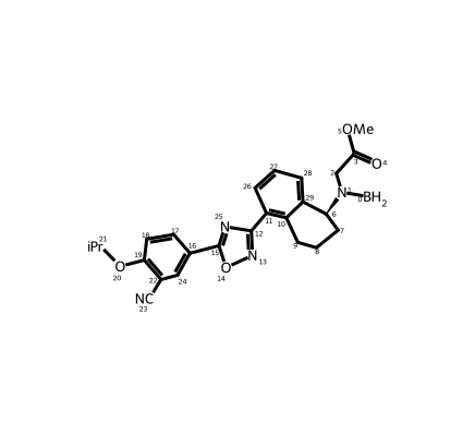 BN(CC(=O)OC)[C@H]1CCCc2c(-c3noc(-c4ccc(OC(C)C)c(C#N)c4)n3)cccc21